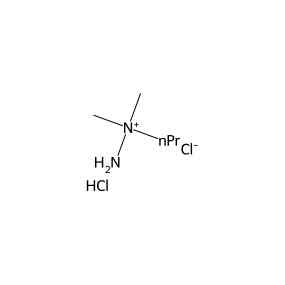 CCC[N+](C)(C)N.Cl.[Cl-]